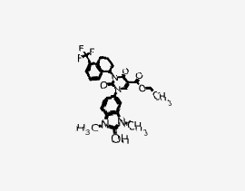 CCOC(=O)c1cn(-c2ccc3c(c2)N(C)C(O)N3C)c(=O)n(C2CCCc3c2cccc3C(F)(F)F)c1=O